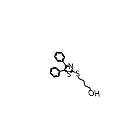 OCCCCSc1nc(-c2ccccc2)c(-c2ccccc2)s1